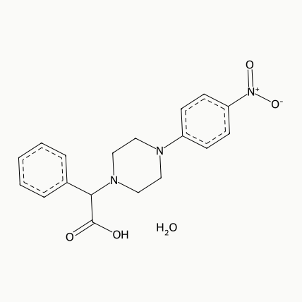 O.O=C(O)C(c1ccccc1)N1CCN(c2ccc([N+](=O)[O-])cc2)CC1